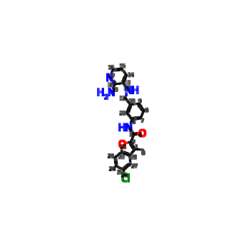 Cc1c(C(=O)Nc2cccc(CNc3cccnc3N)c2)oc2ccc(Cl)cc12